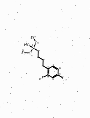 CCO[Si](O)(CCCCc1ccc(F)cc1F)OCC